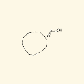 C1CCCCCCCCCCC1.O=PO